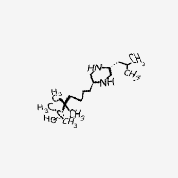 CC(C)C[C@@H]1CN[C@@H](CCCCC(C)(C)[Si](C)(C)O)CN1